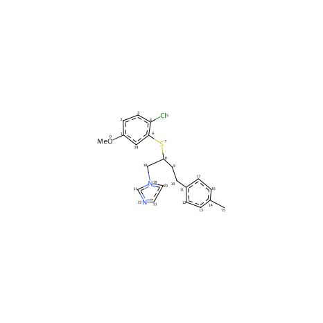 COc1ccc(Cl)c(SC(CCc2ccc(C)cc2)Cn2ccnc2)c1